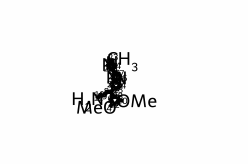 COc1cc(OC)cc(C(CCCN)c2ccc3ncc(-c4cnn(C)c4)nc3c2)c1